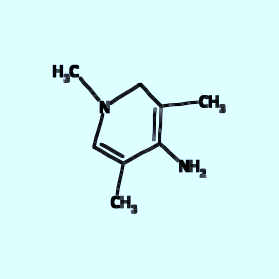 CC1=CN(C)CC(C)=C1N